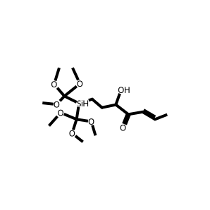 CC=CC(=O)C(O)CC[SiH](C(OC)(OC)OC)C(OC)(OC)OC